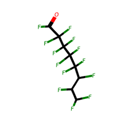 O=C(F)C(F)(F)C(F)(F)C(F)(F)C(F)(F)C(F)C(F)C(F)F